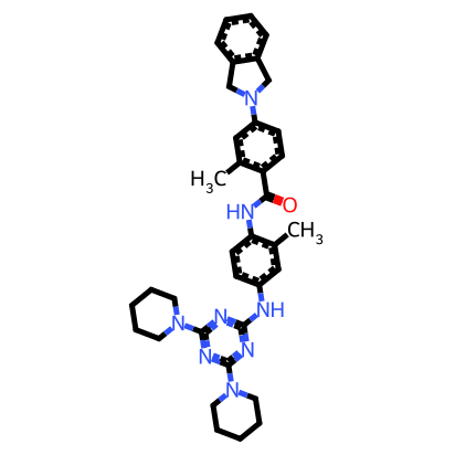 Cc1cc(Nc2nc(N3CCCCC3)nc(N3CCCCC3)n2)ccc1NC(=O)c1ccc(N2Cc3ccccc3C2)cc1C